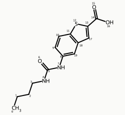 CCCCNC(=O)Nc1ccc2sc(C(=O)O)cc2c1